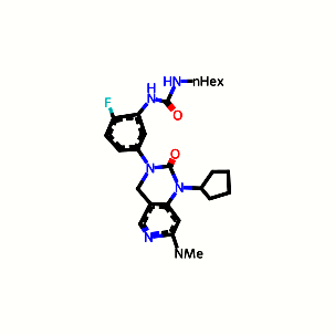 CCCCCCNC(=O)Nc1cc(N2Cc3cnc(NC)cc3N(C3CCCC3)C2=O)ccc1F